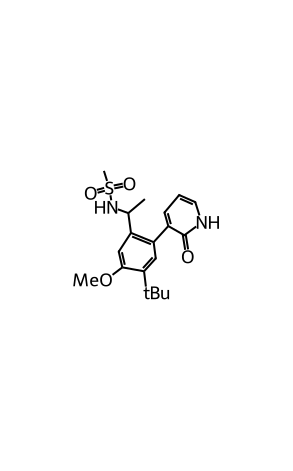 COc1cc(C(C)NS(C)(=O)=O)c(-c2ccc[nH]c2=O)cc1C(C)(C)C